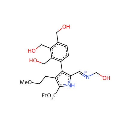 CCOC(=O)c1[nH]c(/C=N/CO)c(-c2ccc(CO)c(CO)c2CO)c1CCOC